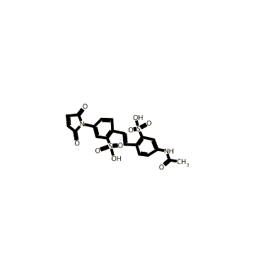 CC(=O)Nc1ccc(/C=C/c2ccc(N3C(=O)C=CC3=O)cc2S(=O)(=O)O)c(S(=O)(=O)O)c1